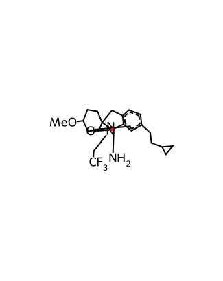 COC1CCC2(CC1)Cc1ccc(CCC3CC3)cc1C21N=C(N)N(CC(F)(F)F)C1=O